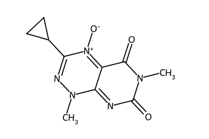 Cn1nc(C2CC2)[n+]([O-])c2c(=O)n(C)c(=O)nc1-2